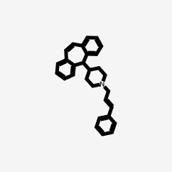 C(=Cc1ccccc1)CN1CCC(C2c3ccccc3C=Cc3ccccc32)CC1